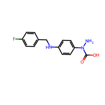 NN(C(=O)O)c1ccc(NCc2ccc(F)cc2)cc1